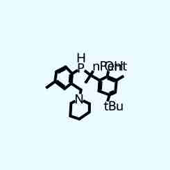 CCCCCC(C)(Pc1ccc(C)cc1CN1CCCCC1)c1cc(C(C)(C)C)cc(C)c1O